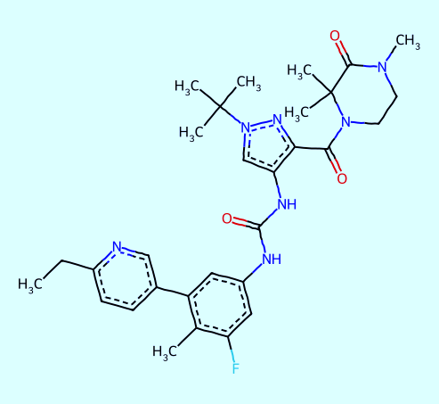 CCc1ccc(-c2cc(NC(=O)Nc3cn(C(C)(C)C)nc3C(=O)N3CCN(C)C(=O)C3(C)C)cc(F)c2C)cn1